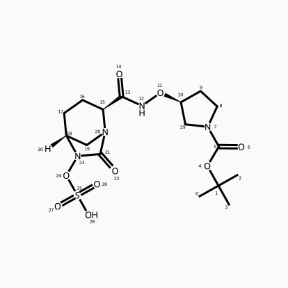 CC(C)(C)OC(=O)N1CC[C@H](ONC(=O)[C@@H]2CC[C@@H]3CN2C(=O)N3OS(=O)(=O)O)C1